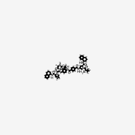 C[C@@H](C(=O)N[C@@H](Cc1ccc(NC(=O)c2ccc(C(=O)N[C@H]3C[C@@H](C(=O)N[C@@H]4CCCc5ccccc54)N(C(=O)[C@@H](N)C(C)(C)C)C3)cc2)cc1)C(=O)N1C[Si](C)(C)C[C@H]1C(=O)N[C@@H]1CCCc2ccccc21)N(C)C(=O)OC(C)(C)C